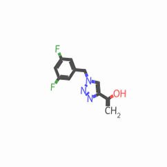 C=C(O)c1cn(Cc2cc(F)cc(F)c2)nn1